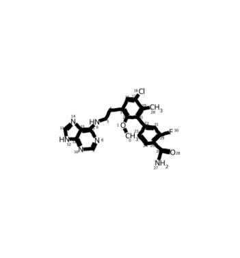 COc1c(CCNc2ncnc3[nH]cnc23)cc(Cl)c(C)c1-c1ccc(C(N)=O)c(F)c1